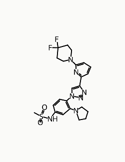 CS(=O)(=O)Nc1ccc(-n2cc(-c3cccc(N4CCC(F)(F)CC4)n3)nn2)c(N2CCCC2)c1